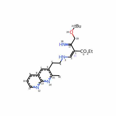 CCOC(=O)/C(=C/NCCc1cc2cccnc2nc1C)C(=N)COC(C)(C)C